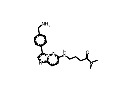 CN(C)C(=O)CCCNc1ccc2ncc(-c3ccc(CN)cc3)n2n1